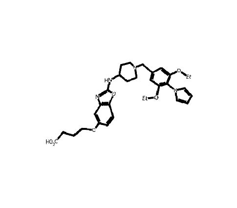 CCOc1cc(CN2CCC(Nc3nc4cc(OCCCC(=O)O)ccc4o3)CC2)cc(OCC)c1-n1cccc1